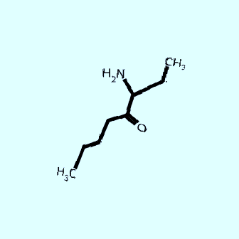 C[CH]C(N)C(=O)CCCC